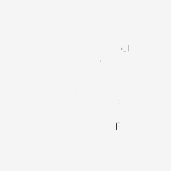 C=C(CC)c1cc(C)ccc1Cl